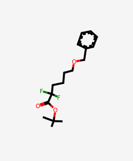 CC(C)(C)OC(=O)C(F)(F)CCCCOCc1ccccc1